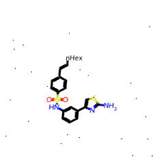 CCCCCCC=Cc1ccc(S(=O)(=O)Nc2cccc(-c3csc(N)n3)c2)cc1